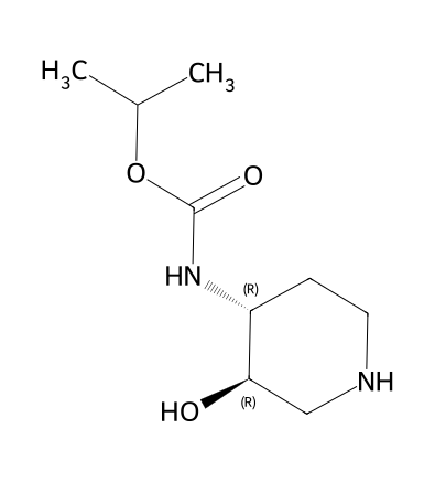 CC(C)OC(=O)N[C@@H]1CCNC[C@H]1O